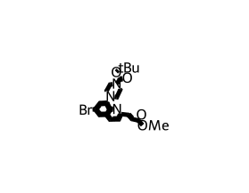 COC(=O)C=Cc1ccc2cc(Br)cc(N3CCN(C(=O)OC(C)(C)C)CC3)c2n1